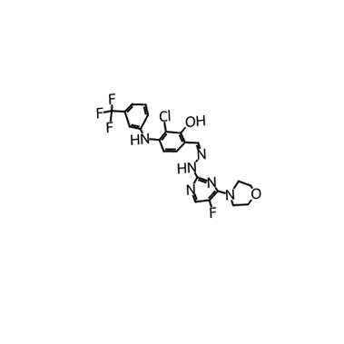 Oc1c(/C=N\Nc2ncc(F)c(N3CCOCC3)n2)ccc(Nc2cccc(C(F)(F)F)c2)c1Cl